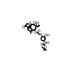 C=C[C@]1(C)C[C@@H](OC(=O)CS[C@@H]2CC[C@@H](NC(=O)OC(C)(C)C)C[C@H]2O)[C@]2(C)C(C)CC34C(=O)CC[C@@]3([C@@H](C)[C@@H]1O)[C@@H]42